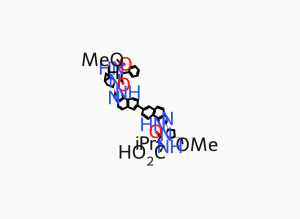 COC[C@H]1C[C@@H](c2nc3ccc4cc(-c5ccc6c(ccc7nc([C@@H]8CC9C[C@H]9N8C(=O)[C@H](NC(=O)OC)c8ccccc8)[nH]c76)c5)ccc4c3[nH]2)N(C(=O)[C@@H](NC(=O)O)C(C)C)C1